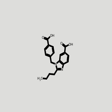 CCCCc1nc2ccc(C(=O)O)cc2n1Cc1ccc(C(=O)O)cc1